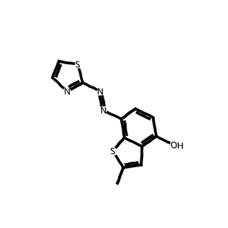 Cc1cc2c(O)ccc(N=Nc3nccs3)c2s1